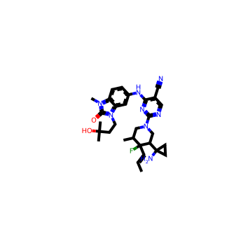 C/C=C/C1(F)C(C)CN(c2ncc(C#N)c(Nc3ccc4c(c3)n(CCC(C)(C)O)c(=O)n4C)n2)CC1C1(N)CC1